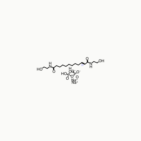 O=C(/C=C/CCCCCCCCC(=O)NCCO)NCCO.O=P([O-])([O-])OP(=O)(O)O.[Na+].[Na+]